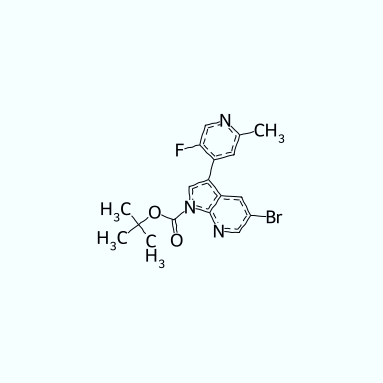 Cc1cc(-c2cn(C(=O)OC(C)(C)C)c3ncc(Br)cc23)c(F)cn1